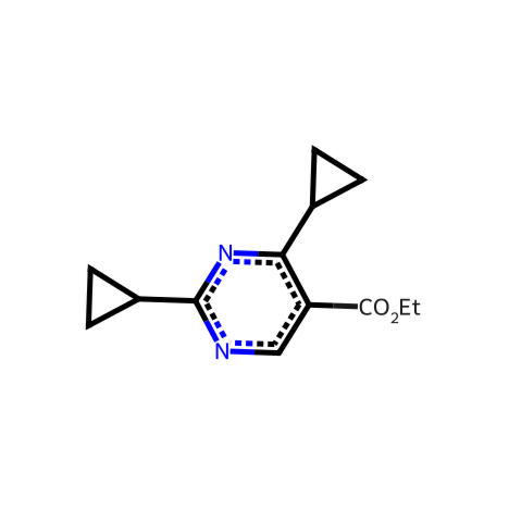 CCOC(=O)c1cnc(C2CC2)nc1C1CC1